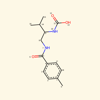 Cc1ccc(C(=O)NCC(NC(=O)O)C(C)C)cc1